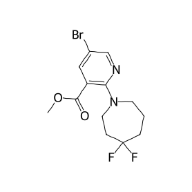 COC(=O)c1cc(Br)cnc1N1CCCC(F)(F)CC1